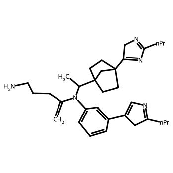 C=C(CCCN)N(c1cccc(C2=CN=C(CCC)C2)c1)C(C)C12CCC(C3=NC(CCC)=NC3)(CC1)C2